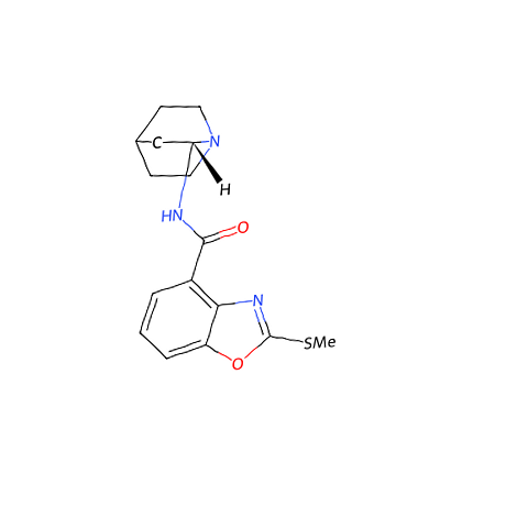 CSc1nc2c(C(=O)N[C@@H]3CC4CCN3CC4)cccc2o1